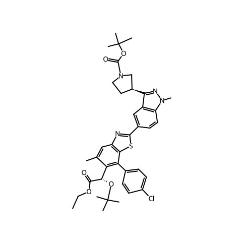 CCOC(=O)[C@@H](OC(C)(C)C)c1c(C)cc2nc(-c3ccc4c(c3)c([C@H]3CCN(C(=O)OC(C)(C)C)C3)nn4C)sc2c1-c1ccc(Cl)cc1